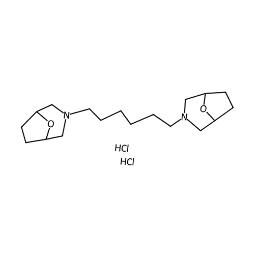 C(CCCN1CC2CCC(C1)O2)CCN1CC2CCC(C1)O2.Cl.Cl